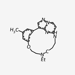 CCN1CCCNc2ccn3ncc(c3n2)-c2cc(C)cc(c2)OCC1